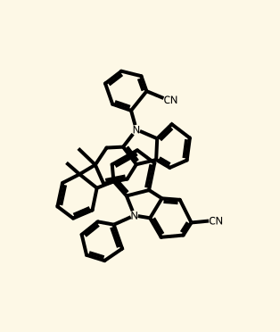 CC1(C2(C)C=CC=CC2c2cccc3c4cc(C#N)ccc4n(-c4ccccc4)c23)C=Cc2c(n(-c3ccccc3C#N)c3ccccc23)C1